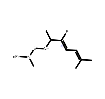 CCCN(C)SNC(C)/C(=C/C=C(C)C)CC